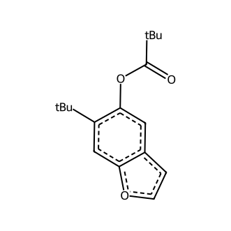 CC(C)(C)C(=O)Oc1cc2ccoc2cc1C(C)(C)C